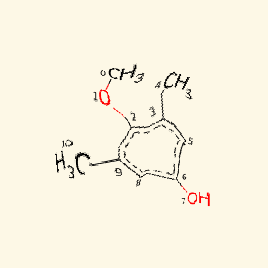 COc1c(C)[c]c(O)cc1C